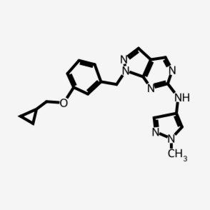 Cn1cc(Nc2ncc3cnn(Cc4cccc(OCC5CC5)c4)c3n2)cn1